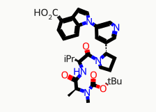 CC(C)[C@H](NC(=O)[C@H](C)N(C)C(=O)OC(C)(C)C)C(=O)N1CCC[C@H]1c1cncc(-n2ccc3c(C(=O)O)cccc32)c1